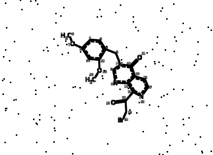 COc1ccc(Cn2cnc3c(C(=O)CBr)nccc3c2=O)c(OC)c1